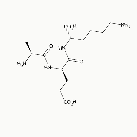 C[C@H](N)C(=O)N[C@H](CCC(=O)O)C(=O)N[C@@H](CCCCN)C(=O)O